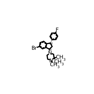 CN1CCN([C@@H]2C[C@@H](c3ccc(F)cc3)c3ccc(Br)cc32)CC1(C)C